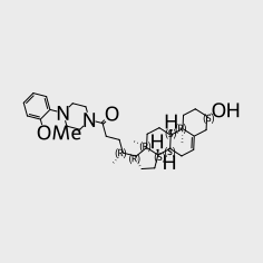 COc1ccccc1N1CCN(C(=O)CC[C@@H](C)[C@H]2CC[C@H]3[C@@H]4CC=C5C[C@@H](O)CC[C@]5(C)[C@H]4CC[C@]23C)CC1